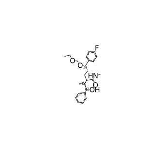 CCOCO[C@@H](CCC(C(=O)NC)[C@H](C)[C@H](O)c1ccccc1)c1ccc(F)cc1